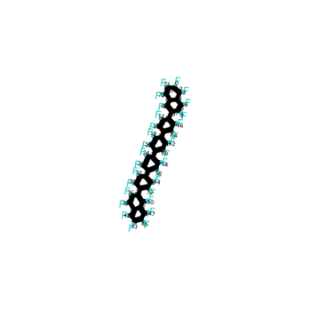 FC1=C(F)C2C(F)=C(F)C(c3c(F)c(F)c(-c4c(F)c(F)c(-c5c(F)c(F)c(-c6c(F)c(F)c(-c7c(F)c(F)c8c(F)c(F)c(F)c(F)c8c7F)c(F)c6F)c(F)c5F)c(F)c4F)c(F)c3F)=C(F)C2C(F)=C1F